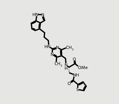 COC(=O)[C@H](CNC(=O)c1cccs1)NCc1c(C)nc(NCCCc2cccc3[nH]ncc23)nc1C